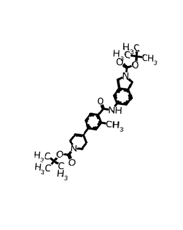 Cc1cc(C2=CCN(C(=O)OC(C)(C)C)CC2)ccc1C(=O)Nc1ccc2c(c1)CN(C(=O)OC(C)(C)C)C2